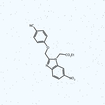 CCOC(=O)Cn1c(COc2ccc(C#N)cc2)nc2ccc([N+](=O)[O-])cc21